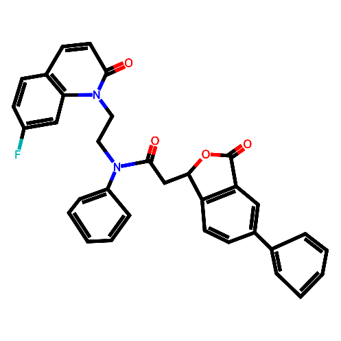 O=C1OC(CC(=O)N(CCn2c(=O)ccc3ccc(F)cc32)c2ccccc2)c2ccc(-c3ccccc3)cc21